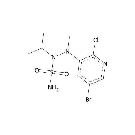 CC(C)N(N(C)c1cc(Br)cnc1Cl)S(N)(=O)=O